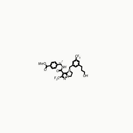 COC(=O)c1ccc([C@H](C)NC(=O)c2c(C(F)(F)F)nn3c2N(Cc2cc(CCCO)cc(C(F)(F)F)c2)CC3)cc1